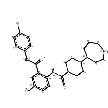 O=C(Nc1ccc(Cl)cn1)c1cc(Cl)ccc1NC(=O)C1CCN(C2CCCNCC2)CC1